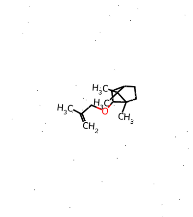 C=C(C)COC1CC2CCC1(C)C2(C)C